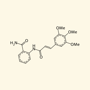 COc1cc(C=CC(=O)Nc2ccccc2C(N)=O)cc(OC)c1OC